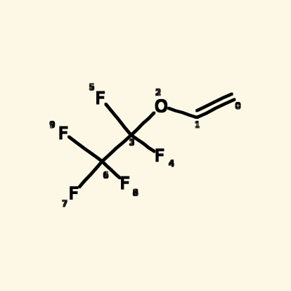 C=COC(F)(F)C(F)(F)F